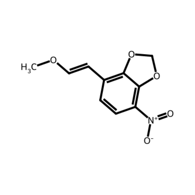 COC=Cc1ccc([N+](=O)[O-])c2c1OCO2